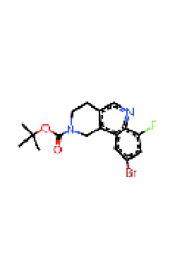 CC(C)(C)OC(=O)N1CCc2cnc3c(F)cc(Br)cc3c2C1